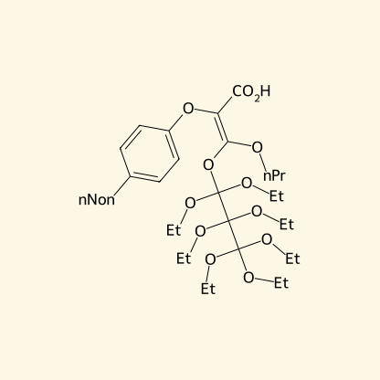 CCCCCCCCCc1ccc(OC(C(=O)O)=C(OCCC)OC(OCC)(OCC)C(OCC)(OCC)C(OCC)(OCC)OCC)cc1